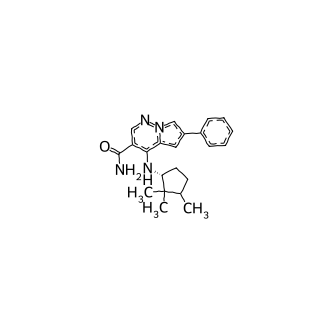 CC1CC[C@@H](Nc2c(C(N)=O)cnn3cc(-c4ccccc4)cc23)C1(C)C